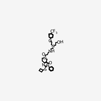 O=C(CCNCCN(CCO)CCOc1ccc(C(F)(F)F)cc1)N1CCc2nc(SC3CCC3)n(-c3ccccc3)c(=O)c2C1